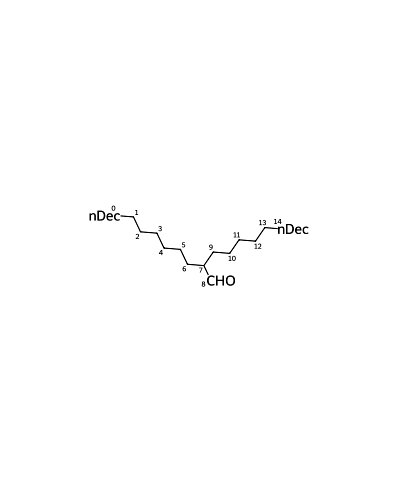 CCCCCCCCCCCCCCCCC(C=O)CCCCCCCCCCCCCCC